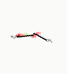 CCCCCCCCCCCC[C@H](O)[C@@H]1CC[C@@H]([C@@H](O)CCCCC([18F])CCCCC[C@@H](O)CC2=C[C@H](C)OC2=O)O1